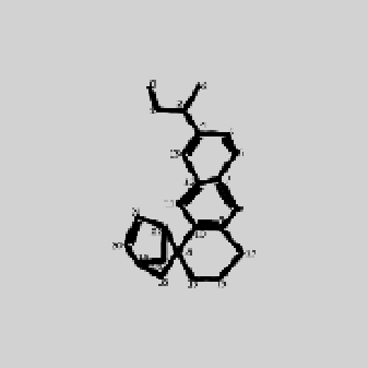 CCC(C)c1ccc2cc3c(cc2c1)C1(CCC3)CC2C=CC1C2